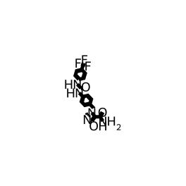 NC(=O)c1c(O)ncn1Cc1ccc(NC(=O)Nc2ccc(C(F)(F)F)cc2)cc1